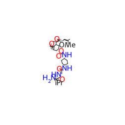 COC1C(OC(=O)N[C@H]2CC[C@H](NC(=O)CNC(=O)[C@@H](N)C(C)C)CC2)CC[C@]2(CO2)C1C1(C)O[C@@H]1CC=C(C)C